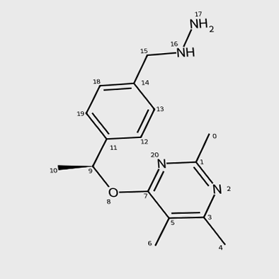 Cc1nc(C)c(C)c(O[C@@H](C)c2ccc(CNN)cc2)n1